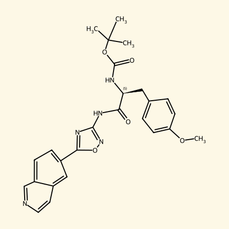 COc1ccc(C[C@H](NC(=O)OC(C)(C)C)C(=O)Nc2noc(-c3ccc4cnccc4c3)n2)cc1